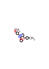 COc1ccc(-c2nc(-c3ccccc3)c3c(C(O)c4ccc(C)cc4)cccn23)cc1